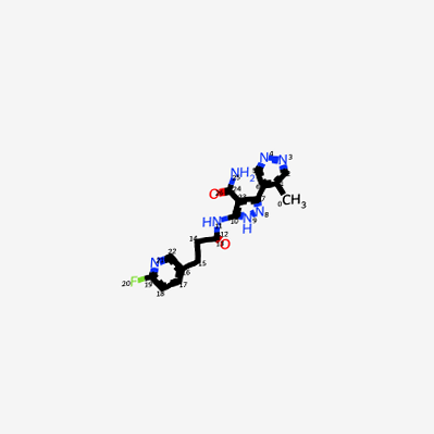 Cc1cnncc1-c1n[nH]c(NC(=O)CCc2ccc(F)nc2)c1C(N)=O